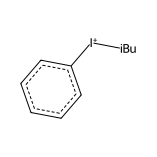 CCC(C)[I+]c1ccccc1